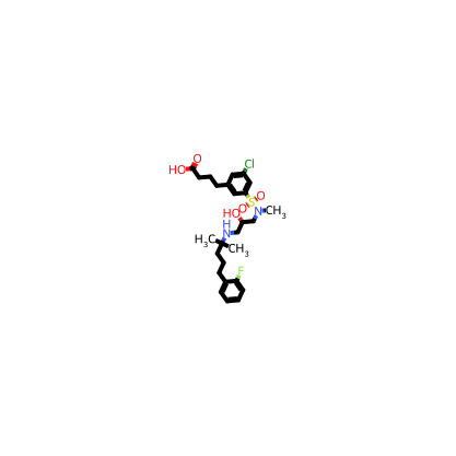 CN(CC(O)CNC(C)(C)CCCc1ccccc1F)S(=O)(=O)c1cc(Cl)cc(CCCC(=O)O)c1